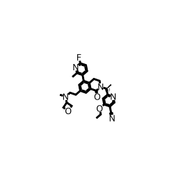 CCOc1cc([C@H](C)N2CCc3c(cc(CCN(C)C4COC4)cc3-c3ccc(F)nc3C)C2=O)ncc1C#N